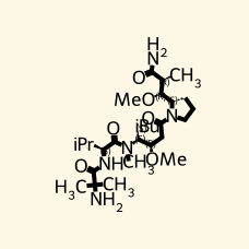 CC[C@H](C)[C@@H]([C@@H](CC(=O)N1CCC[C@H]1[C@H](OC)[C@@H](C)C(N)=O)OC)N(C)C(=O)[C@@H](NC(=O)C(C)(C)N)C(C)C